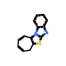 C1=CCc2sc3nc4ccccc4n3c2C=C1